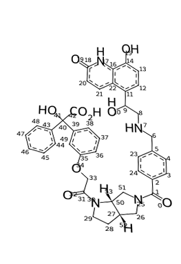 O=C(c1ccc(CNCC(O)c2ccc(O)c3[nH]c(=O)ccc23)cc1)N1C[C@@H]2CCN(C(=O)COc3cccc(C(O)(C(=O)O)c4ccccc4)c3)[C@@H]2C1